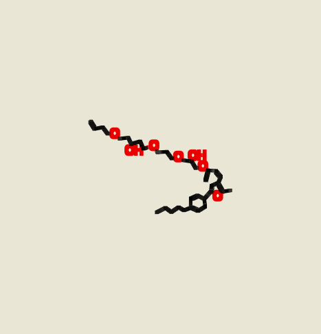 C=CCCOCCC(O)CCOCCCOCC(O)COC(=C)/C=C\c1cc(C2C=CC(CCCCC)=CC2)oc1C